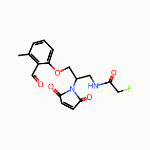 Cc1cccc(OCC(CNC(=O)CF)N2C(=O)C=CC2=O)c1C=O